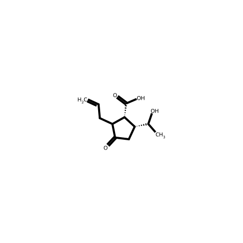 C=CCC1C(=O)C[C@@H](C(C)O)[C@H]1C(=O)O